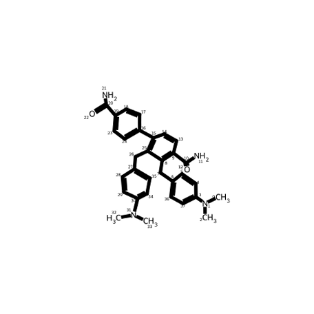 CN(C)c1ccc(Cc2c(C(N)=O)ccc(-c3ccc(C(N)=O)cc3)c2Cc2ccc(N(C)C)cc2)cc1